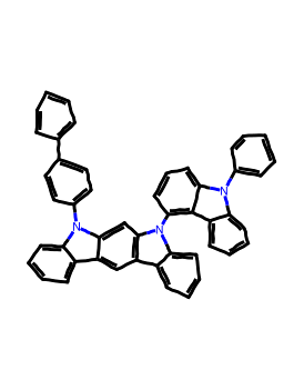 c1ccc(-c2ccc(-n3c4ccccc4c4cc5c6ccccc6n(-c6cccc7c6c6ccccc6n7-c6ccccc6)c5cc43)cc2)cc1